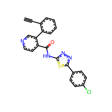 C#Cc1ccccc1-c1cnccc1C(=O)Nc1nnc(-c2ccc(Cl)cc2)s1